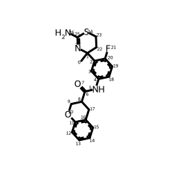 CC1(c2cc(NC(=O)C3COc4ccccc4C3)ccc2F)CCSC(N)=N1